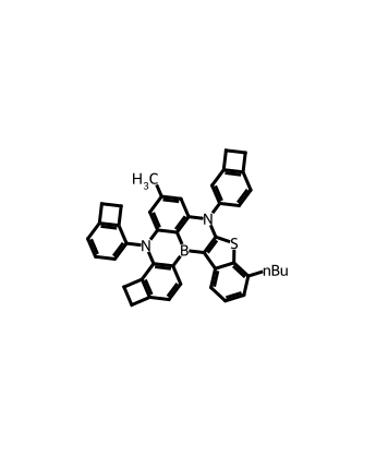 CCCCc1cccc2c3c(sc12)N(c1ccc2c(c1)CC2)c1cc(C)cc2c1B3c1ccc3c(c1N2c1cccc2c1CC2)CC3